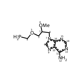 COC(COCP)Cn1cnc2c(N)ncnc21